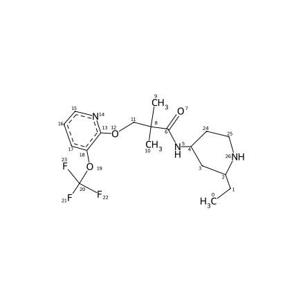 CCC1CC(NC(=O)C(C)(C)COc2ncccc2OC(F)(F)F)CCN1